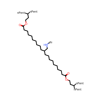 CCCCCC(CCCCC)CCOC(=O)CCCCCCCCCC(CCCCCCCCCC(=O)OCCC(CCCCC)CCCCC)CNC(C)C